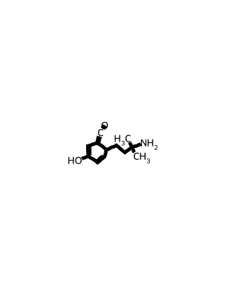 CC(C)(N)CCC1C=CC(O)=CC1=C=O